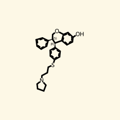 Oc1ccc2c(c1)OC[C@H](c1ccccc1)[C@@H]2c1ccc(SCCCN2CCCC2)cc1